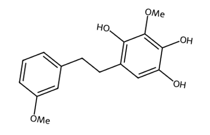 COc1cccc(CCc2cc(O)c(O)c(OC)c2O)c1